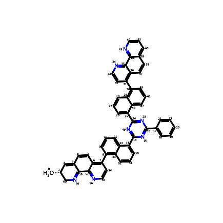 C[C@@H]1C=c2ccc3c(-c4cccc5c(-c6nc(-c7ccccc7)nc(-c7cccc8c(-c9ccnc%10c9ccc9cccnc9%10)cccc78)n6)cccc45)ccnc3c2=NC1